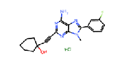 Cl.Cn1c(-c2cccc(F)c2)nc2c(N)nc(C#CC3(O)CCCCC3)nc21